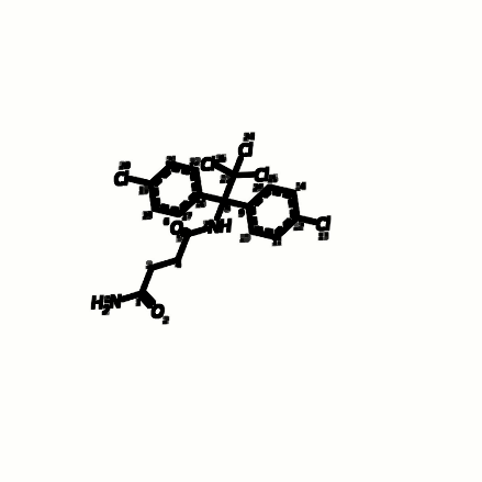 NC(=O)CCC(=O)NC(c1ccc(Cl)cc1)(c1ccc(Cl)cc1)C(Cl)(Cl)Cl